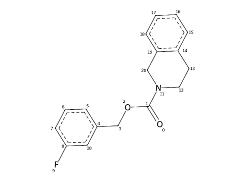 O=C(OCc1cccc(F)c1)N1CCc2ccccc2C1